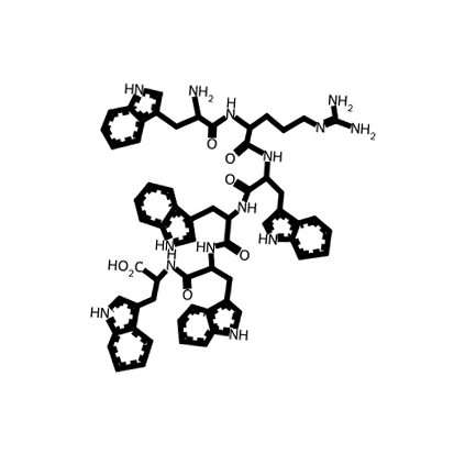 NC(N)=NCCCC(NC(=O)C(N)Cc1c[nH]c2ccccc12)C(=O)NC(Cc1c[nH]c2ccccc12)C(=O)NC(Cc1c[nH]c2ccccc12)C(=O)NC(Cc1c[nH]c2ccccc12)C(=O)NC(Cc1c[nH]c2ccccc12)C(=O)O